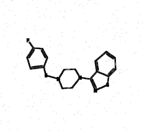 Fc1ccc(SN2CCN(c3nsc4ccccc34)CC2)cc1